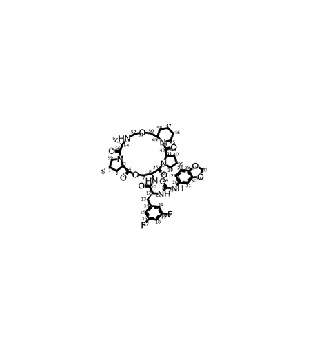 C[C@H]1CC2C(=O)OC[C@H](NC(=O)[C@H](Cc3cc(F)cc(F)c3)NC(=O)Nc3ccc4c(c3)OCO4)C(=O)N3CCCC3C(=O)N3CCCCC3COCN[C@@H](C)C(=O)N2C1